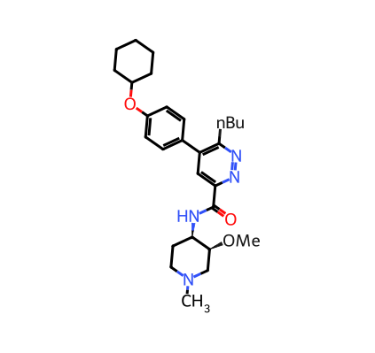 CCCCc1nnc(C(=O)N[C@@H]2CCN(C)C[C@@H]2OC)cc1-c1ccc(OC2CCCCC2)cc1